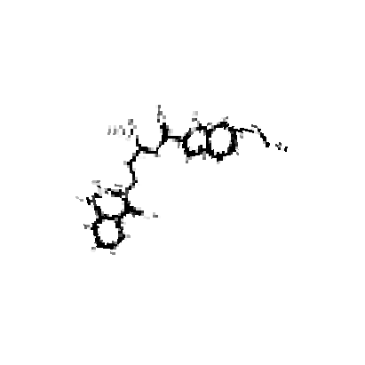 CCCCOc1ccc2cc(C(=O)CC(CCn3nnc4ccccc4c3=O)C(=O)O)oc2c1